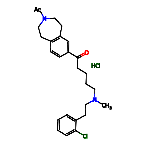 CC(=O)N1CCc2ccc(C(=O)CCCCN(C)CCc3ccccc3Cl)cc2CC1.Cl